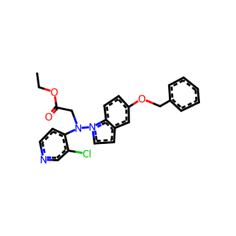 CCOC(=O)CN(c1ccncc1Cl)n1ccc2cc(OCc3ccccc3)ccc21